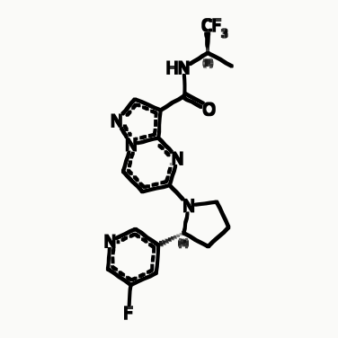 C[C@@H](NC(=O)c1cnn2ccc(N3CCC[C@@H]3c3cncc(F)c3)nc12)C(F)(F)F